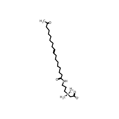 CC(=O)CCCCCCC/C=C/CCCCCCCC(=O)NCCC[N+](C)(C)CC(=O)[O-]